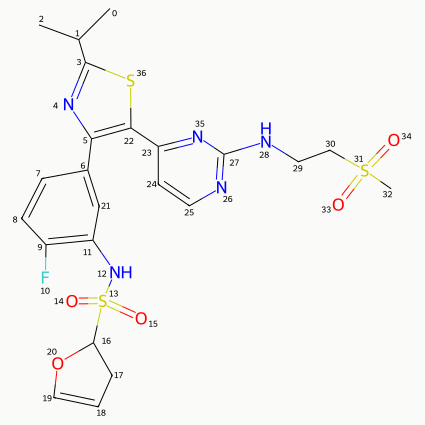 CC(C)c1nc(-c2ccc(F)c(NS(=O)(=O)C3CC=CO3)c2)c(-c2ccnc(NCCS(C)(=O)=O)n2)s1